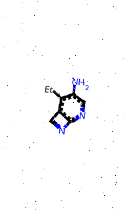 CCc1c(N)cnc2c1C=N2